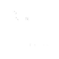 CC(C)CCCc1ccc(-n2cccn2)nc1